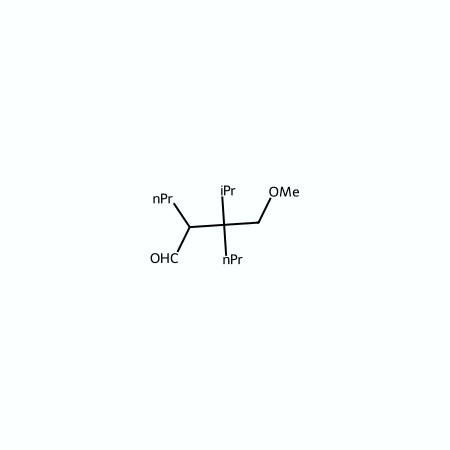 CCCC(C=O)C(CCC)(COC)C(C)C